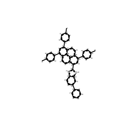 Cc1ccc(-c2cc(-c3ccc(C)cc3)c3ccc4c(-c5nc6ccc(-c7ccccc7)cc6o5)cc(-c5ccc(C)cc5)c5ccc2c3c54)cc1